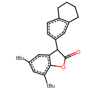 CC(C)(C)c1cc2c(c(C(C)(C)C)c1)OC(=O)C2c1ccc2c(c1)CCCC2